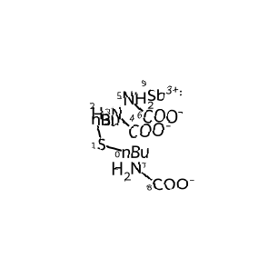 CCCCSCCCC.NC(=O)[O-].NC(=O)[O-].NC(=O)[O-].[Sb+3]